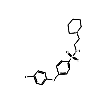 O=S(=O)(NCCN1CCCCC1)c1ccc(Oc2ccc(F)cc2)cc1